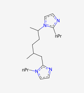 CCCc1nccn1C(C)CCC(C)Cc1nccn1CCC